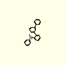 CN(c1ccccc1)c1ccccc1-c1cccc(-c2ccccc2)c1